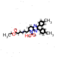 CCOC(=O)CC/C=C/CC1CCc2nc(-c3ccc(C)cc3)c(-c3ccc(C)cc3)nc2N1C(=O)O